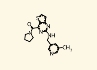 Cc1cncc(CNc2nc(C(=O)N3CCCC3)c3sccc3n2)c1